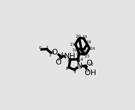 CCCOC(=O)NC1CCN(C(=O)O)C1C1C2CC3CC(C2)CC1C3